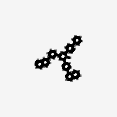 CN1C(c2ccc(-c3cncc4ccccc34)cc2)=CC(c2cccc(-c3ccc4ccc#cc4c3)c2)=NC1c1c#cc(-c2ccccc2)cc1